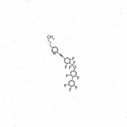 CCCCc1ccc(C#Cc2cc(F)c(C(F)(F)Oc3cc(F)c(-c4cc(F)c(F)c(F)c4)c(F)c3)c(F)c2)nc1